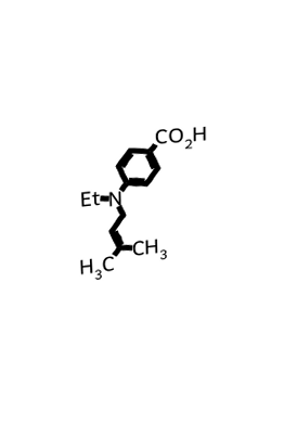 CCN(CC=C(C)C)c1ccc(C(=O)O)cc1